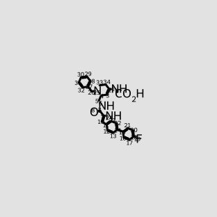 O=C(O)NC1=CC(CNC(=O)c2cc3ccc(-c4ccc(F)cc4)cc3[nH]2)N(Cc2ccccc2)CC1